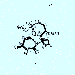 CO[C@@H]1COP(=O)(OC(C)C)O[C@H]1[C@@]1(n2ccc(=O)[nH]c2=O)CCO1